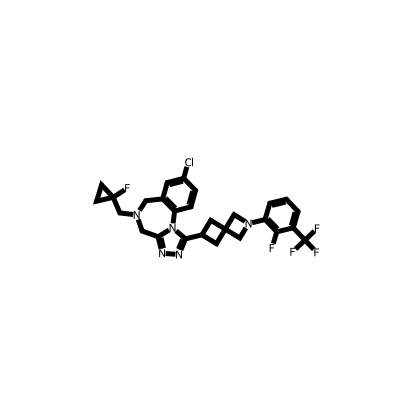 Fc1c(N2CC3(CC(c4nnc5n4-c4ccc(Cl)cc4CN(CC4(F)CC4)C5)C3)C2)cccc1C(F)(F)F